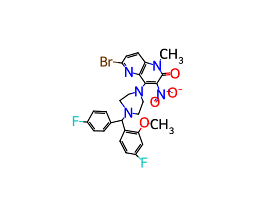 COc1cc(F)ccc1C(c1ccc(F)cc1)N1CCN(c2c([N+](=O)[O-])c(=O)n(C)c3ccc(Br)nc23)CC1